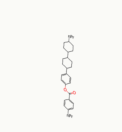 CCCc1ccc(C(=O)Oc2ccc(C3CCC(C4CCC(CCC)CC4)CC3)cc2)cc1